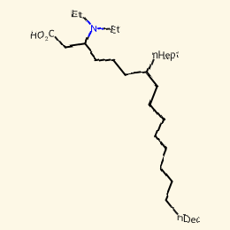 CCCCCCCCCCCCCCCCCCC(CCCCCCC)CCCC(CC(=O)O)N(CC)CC